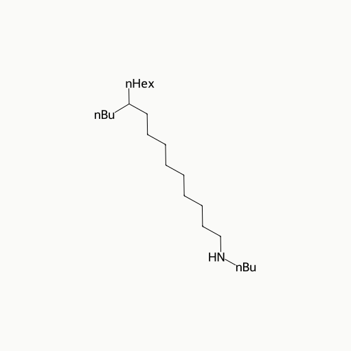 CCCCCCC(CCCC)CCCCCCCCCNCCCC